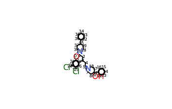 O=C(CC(CCN1CCC(O)(c2ccccc2)CC1)c1ccc(Cl)c(Cl)c1)N1CCC(c2ccccc2)CC1